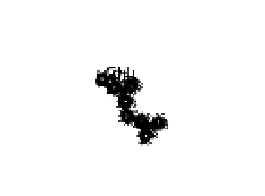 CC1(C)c2ccccc2-c2ccc(C(C3=CC=C(c4cccc(-c5ccc6c(c5)c5c(n6C6=CC=CCC6)C=CCC5)c4)CC3)c3ccccc3)cc21